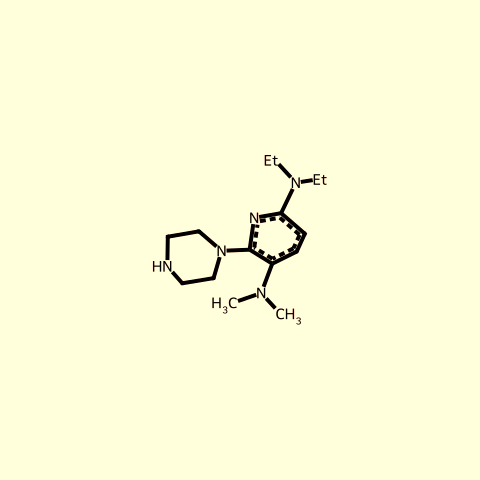 CCN(CC)c1ccc(N(C)C)c(N2CCNCC2)n1